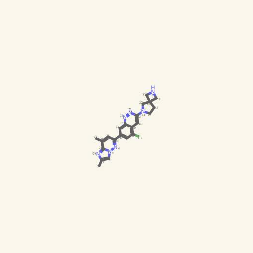 Cc1cn2nc(-c3cc(F)c4cc(N5CCC6(CNC6)C5)nnc4c3)cc(C)c2n1